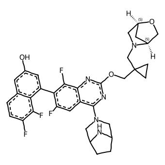 Oc1cc(-c2c(F)cc3c(N4CC5CCC(C4)N5)nc(OCC4(CN5C[C@@H]6C[C@H]5CO6)CC4)nc3c2F)c2c(F)c(F)ccc2c1